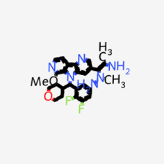 COc1nccc2c3ncc(/C(=C(\C)N)N(C)N)cc3n(C(c3cccc(F)c3F)C3CCOCC3)c12